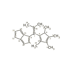 CC1=C(C)C(C)[C]([Zr]([C]2=CC=C3C=CC=C32)=[Si](C)C)=C1C